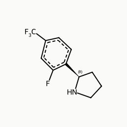 Fc1cc(C(F)(F)F)ccc1[C@H]1CCCN1